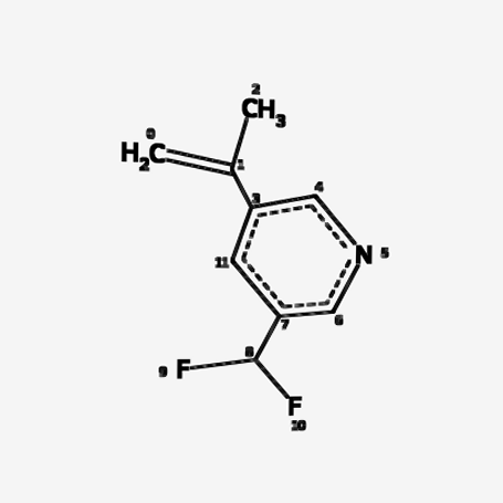 C=C(C)c1cncc(C(F)F)c1